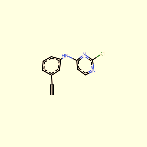 C#Cc1cccc(Nc2ccnc(Cl)n2)c1